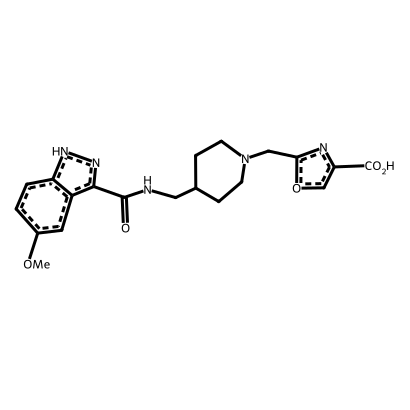 COc1ccc2[nH]nc(C(=O)NCC3CCN(Cc4nc(C(=O)O)co4)CC3)c2c1